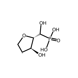 O=P(O)(O)C(O)[C@H]1OC[CH][C@@H]1O